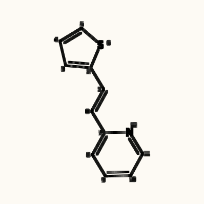 C(=Cc1cccs1)c1ccccn1